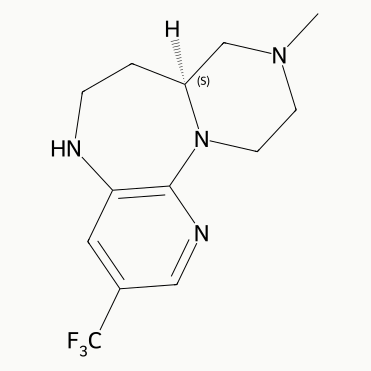 CN1CCN2c3ncc(C(F)(F)F)cc3NCC[C@H]2C1